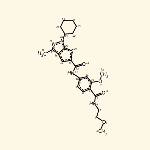 COCCNC(=O)c1ccc(NC(=O)c2cc3c(C)nn(C4CCCCC4)c3s2)cc1OC